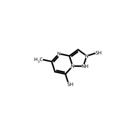 CC1=NC2=CN(S)NN2C(S)=C1